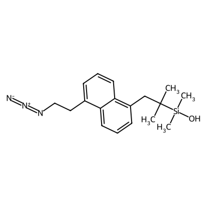 CC(C)(Cc1cccc2c(CCN=[N+]=[N-])cccc12)[Si](C)(C)O